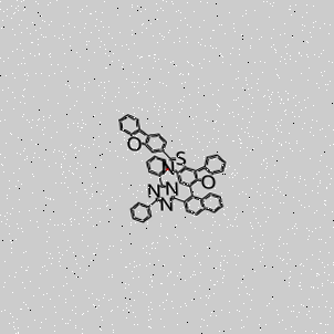 c1ccc(-c2nc(-c3ccccc3)nc(-c3ccc4ccccc4c3-c3cc4nc(-c5ccc6c(c5)oc5ccccc56)sc4c4c3oc3ccccc34)n2)cc1